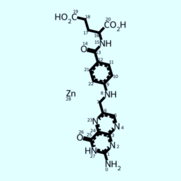 Nc1nc2ncc(CNc3ccc(C(=O)NC(CCC(=O)O)C(=O)O)cc3)nc2c(=O)[nH]1.[Zn]